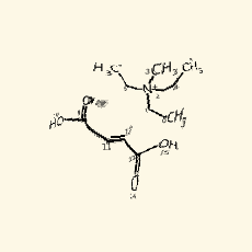 CC[N+](C)(CC)CC.O=C(O)C=CC(=O)O